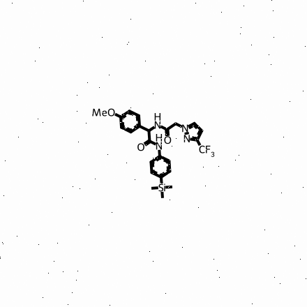 COc1ccc(C(NC(=O)Cn2ccc(C(F)(F)F)n2)C(=O)Nc2ccc([Si](C)(C)C)cc2)cc1